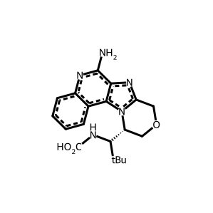 CC(C)(C)C(NC(=O)O)[C@H]1COCc2nc3c(N)nc4ccccc4c3n21